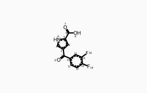 O=C(c1c[nH]c(C(=O)O)c1)c1ccc(F)c(F)c1